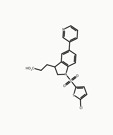 O=C(O)CCC1CN(S(=O)(=O)c2ccc(Cl)s2)c2ccc(-c3cccnc3)cc21